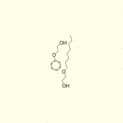 CCCCCCCCOCCO.OCCOc1ccccc1